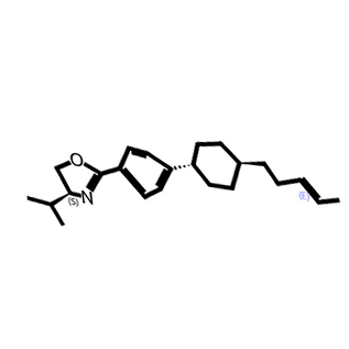 C/C=C/CC[C@H]1CC[C@H](c2ccc(C3=N[C@@H](C(C)C)CO3)cc2)CC1